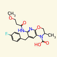 COCCC(=O)Nc1nc2c(cc1Cc1ccc(F)cc1)N(C(=O)O)C(C)CO2